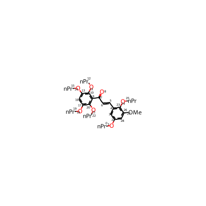 CCCOc1cc(/C=C/C(=O)c2c(OCCC)c(OCCC)cc(OCCC)c2OCCC)c(OCCC)c(OC)c1